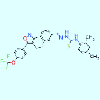 Cc1ccc(NC(=S)NN=Cc2ccc3c(c2)CCc2c-3noc2-c2ccc(OC(F)(F)F)cc2)c(C)c1